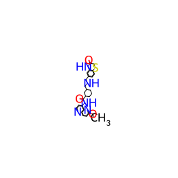 COc1ccc2nccc(NC(=O)C3CCCC(CNCc4ccc5c(c4)NC(=O)CS5)C3)c2n1